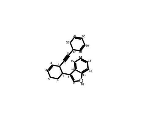 C(#CC1C=CCCC1c1coc2ccccc12)C1C=CC=CC1